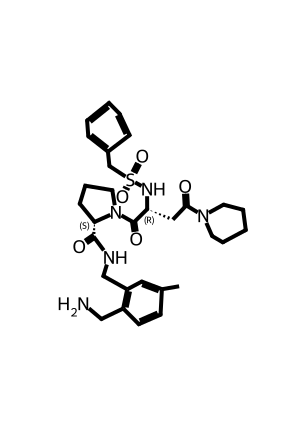 Cc1ccc(CN)c(CNC(=O)[C@@H]2CCCN2C(=O)[C@@H](CC(=O)N2CCCCC2)NS(=O)(=O)Cc2ccccc2)c1